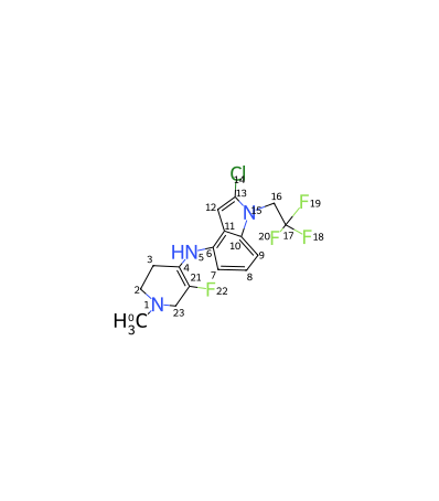 CN1CCC(Nc2cccc3c2cc(Cl)n3CC(F)(F)F)=C(F)C1